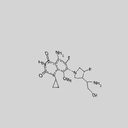 COc1c(N2CC(F)C(C(N)CO)C2)c(F)c(N)c2c(=O)[nH]c(=O)n(C3CC3)c12